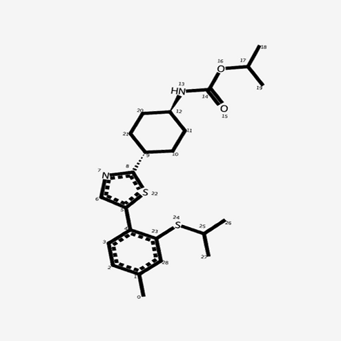 Cc1ccc(-c2cnc([C@H]3CC[C@H](NC(=O)OC(C)C)CC3)s2)c(SC(C)C)c1